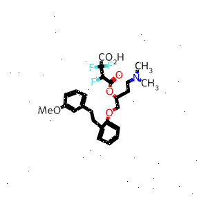 COc1cccc(CCc2ccccc2OCC(CCN(C)C)OC(=O)C(F)C(F)(F)C(=O)O)c1